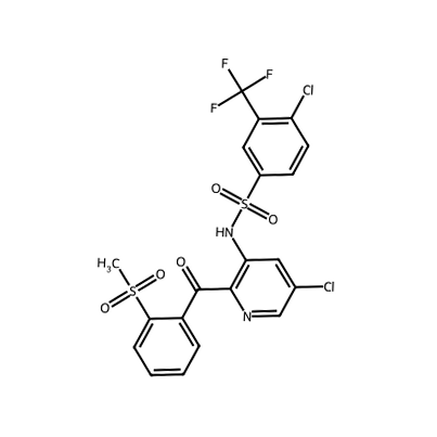 CS(=O)(=O)c1ccccc1C(=O)c1ncc(Cl)cc1NS(=O)(=O)c1ccc(Cl)c(C(F)(F)F)c1